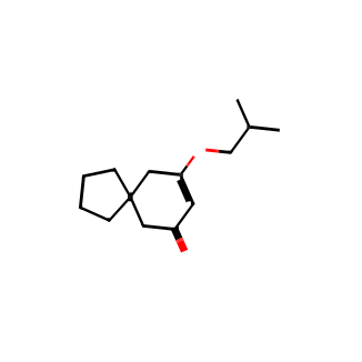 CC(C)COC1=CC(=O)CC2(CCCC2)C1